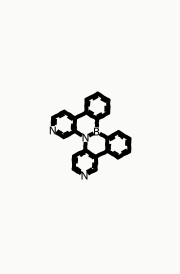 c1ccc2c(c1)B1c3ccccc3-c3ccncc3N1c1ccncc1-2